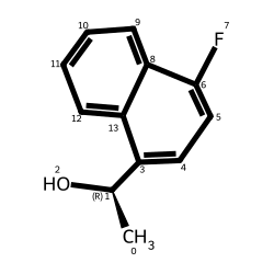 C[C@@H](O)c1ccc(F)c2ccccc12